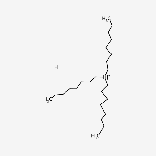 CCCCCCC[CH2][Hf+]([CH2]CCCCCCC)[CH2]CCCCCCC.[H-]